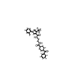 O=C(NCCNC(=O)C1CCC(C(=O)c2ccccc2)CC1)c1cn(-c2ccccc2F)nc1C(F)(F)F